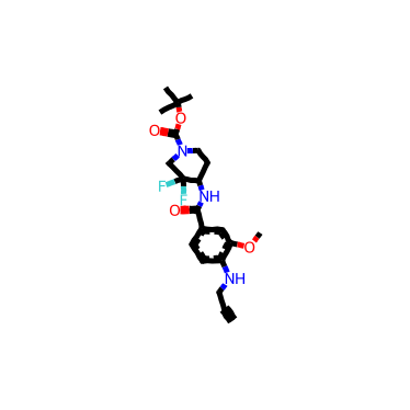 C#CCNc1ccc(C(=O)NC2CCN(C(=O)OC(C)(C)C)CC2(F)F)cc1OC